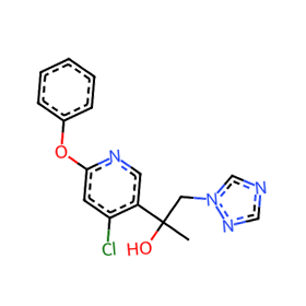 CC(O)(Cn1cncn1)c1cnc(Oc2ccccc2)cc1Cl